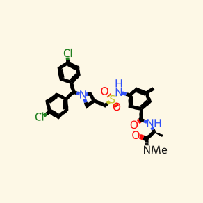 CNC(=O)[C@H](C)NC(=O)c1cc(C)cc(NS(=O)(=O)CC2CN(C(c3ccc(Cl)cc3)c3ccc(Cl)cc3)C2)c1